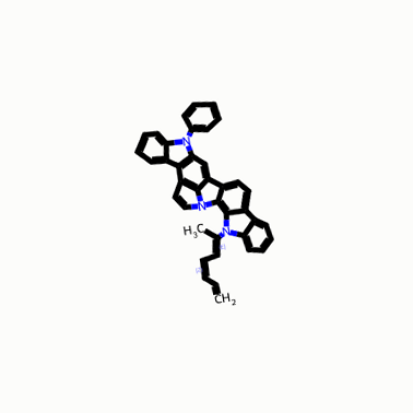 C=C/C=C\C=C(/C)n1c2ccccc2c2ccc3c4cc5c(c6ccccc6n5-c5ccccc5)c5ccn(c45)c3c21